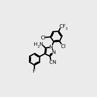 N#Cc1nn(-c2c(Cl)cc(C(F)(F)F)cc2Cl)c(N)c1-c1cccc(F)c1